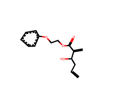 C=CCC(O)C(=C)C(=O)OCCOc1ccccc1